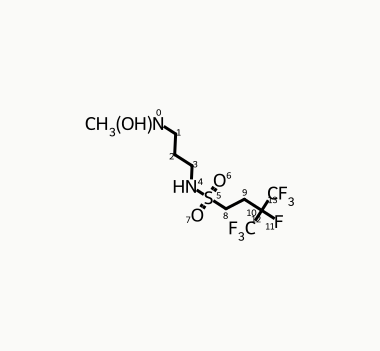 CN(O)CCCNS(=O)(=O)CCC(F)(C(F)(F)F)C(F)(F)F